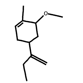 C=C(CC)C1CC=C(C)C(OC)C1